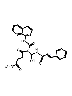 COC(=O)CCC(=O)N(C(=S)Nc1cccc2cccnc12)C(NC(=O)/C=C/c1ccccc1)C(Cl)(Cl)Cl